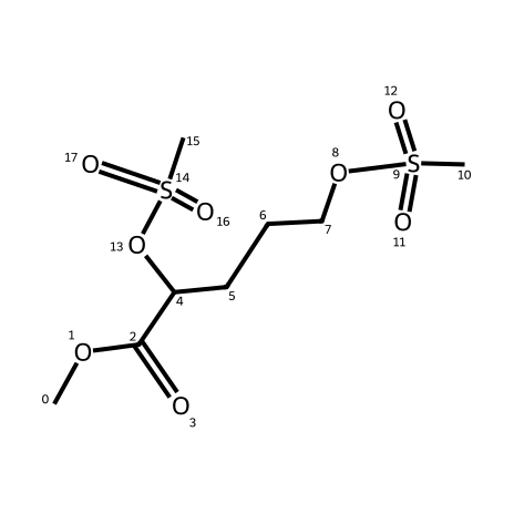 COC(=O)C(CCCOS(C)(=O)=O)OS(C)(=O)=O